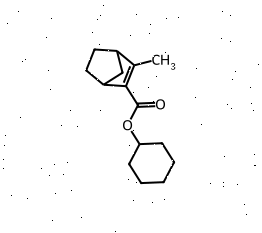 CC1=C(C(=O)OC2CCCCC2)C2CCC1C2